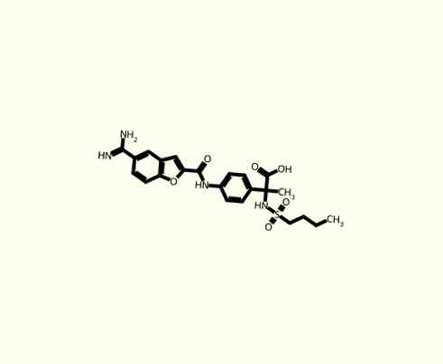 CCCCS(=O)(=O)NC(C)(C(=O)O)c1ccc(NC(=O)c2cc3cc(C(=N)N)ccc3o2)cc1